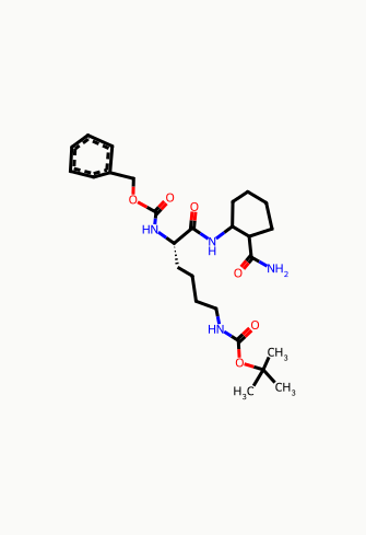 CC(C)(C)OC(=O)NCCCC[C@H](NC(=O)OCc1ccccc1)C(=O)NC1CCCCC1C(N)=O